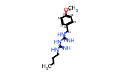 CCCCNC(=N)NC(=N)NCc1ccc(OC)cc1